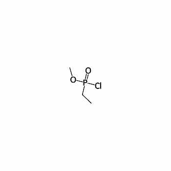 CCP(=O)(Cl)OC